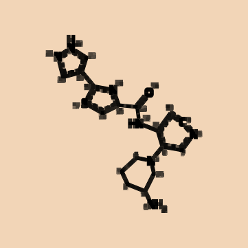 NC1CCCN(c2cnccc2NC(=O)c2csc(-c3cn[nH]c3)n2)C1